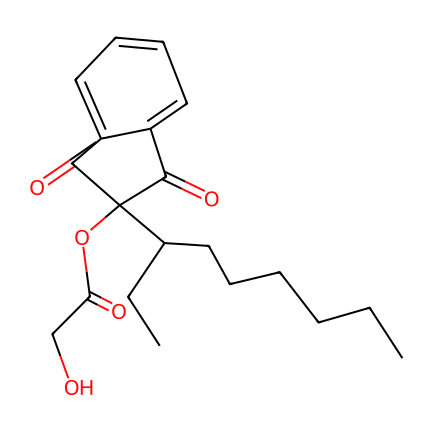 CCCCCCC(CC)C1(OC(=O)CO)C(=O)c2ccccc2C1=O